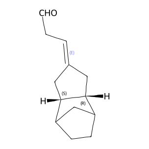 O=CC/C=C1/C[C@@H]2C3CCC(C3)[C@@H]2C1